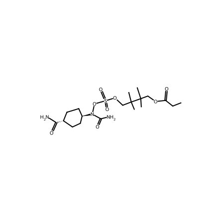 CCC(=O)OCC(C)(C)C(C)(C)COS(=O)(=O)ON(C(N)=O)[C@H]1CC[C@H](C(N)=O)CC1